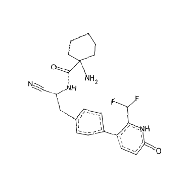 N#CC(Cc1ccc(-c2ccc(=O)[nH]c2C(F)F)cc1)NC(=O)C1(N)CCCCC1